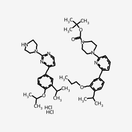 CC(C)Oc1ccc(-c2ccnc(N3CCNCC3)n2)cc1C(C)C.CCCOc1cc(-c2cccc(N3CCN(C(=O)OC(C)(C)C)CC3)n2)ccc1C(C)C.Cl.Cl